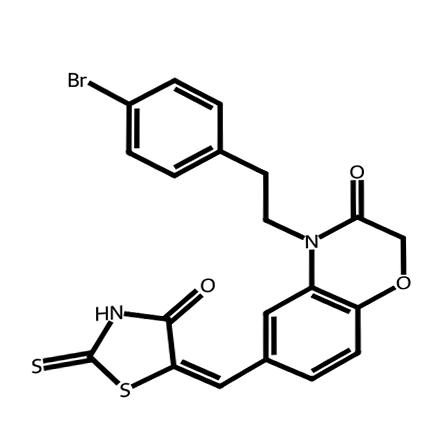 O=C1NC(=S)SC1=Cc1ccc2c(c1)N(CCc1ccc(Br)cc1)C(=O)CO2